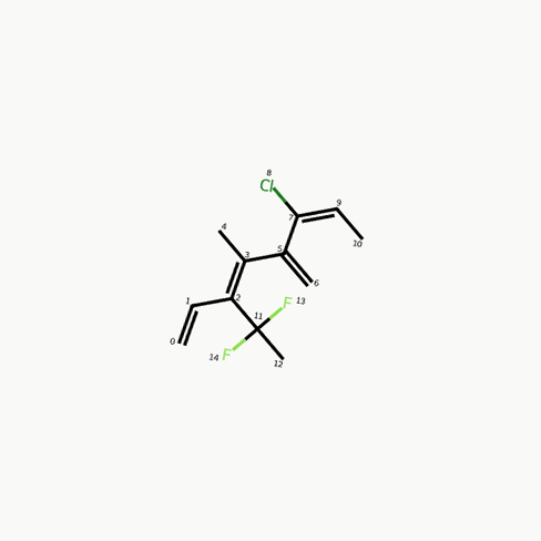 C=C/C(=C(\C)C(=C)/C(Cl)=C\C)C(C)(F)F